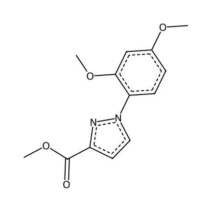 COC(=O)c1ccn(-c2ccc(OC)cc2OC)n1